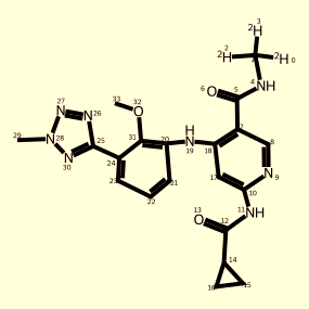 [2H]C([2H])([2H])NC(=O)c1cnc(NC(=O)C2CC2)cc1Nc1cccc(-c2nnn(C)n2)c1OC